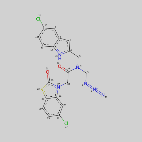 [N-]=[N+]=NCN(Cc1cc2cc(Cl)ccc2[nH]1)C(=O)Cn1c(=O)sc2ccc(Cl)cc21